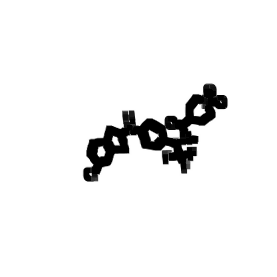 CN(C(=O)C1CCS(=O)(=O)CC1)[C@@H](c1ccc(NC2Cc3ccc(Cl)cc3C2)cc1)C(F)(F)F